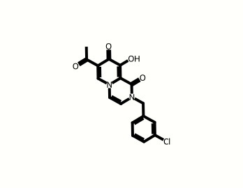 CC(=O)c1cn2ccn(Cc3cccc(Cl)c3)c(=O)c2c(O)c1=O